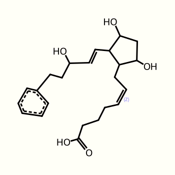 O=C(O)CCC/C=C\CC1C(O)CC(O)C1C=CC(O)CCc1ccccc1